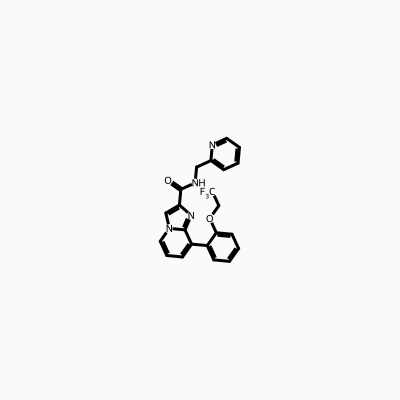 O=C(NCc1ccccn1)c1cn2cccc(-c3ccccc3OCC(F)(F)F)c2n1